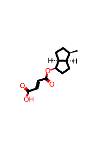 C[C@@H]1CC[C@H]2[C@@H]1CC[C@H]2OC(=O)C=CC(=O)O